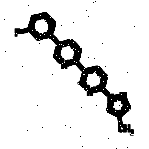 Cc1cnn(-c2ccc(-c3ccc(-c4cccc(F)c4)cn3)[c]n2)c1